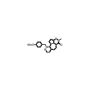 COc1ccc(CN2N=CC=c3ccc4c5c(ccc-5c32)nn(C)c4=O)cc1